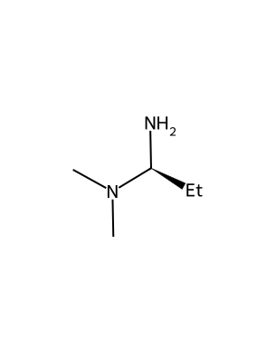 CC[C@H](N)N(C)C